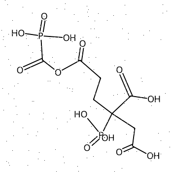 O=C(O)CC(CCC(=O)OC(=O)P(=O)(O)O)(C(=O)O)P(=O)(O)O